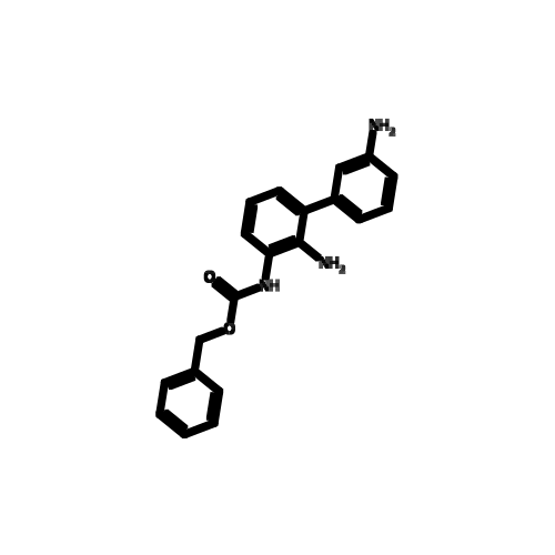 Nc1cccc(-c2cccc(NC(=O)OCc3ccccc3)c2N)c1